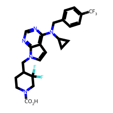 O=C(O)N1CCC(Cn2ccc3c(N(Cc4ccc(C(F)(F)F)cc4)C4CC4)ncnc32)C(F)(F)C1